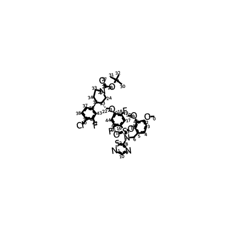 COc1ccc(CN(c2ncns2)S(=O)(=O)c2cc(F)c(OC[C@H]3CN(C(=O)OC(C)(C)C)CC[C@@H]3c3ccc(Cl)c(F)c3)cc2F)cc1OC